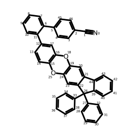 N#Cc1ccc(-c2ccccc2-c2ccc3c(c2)Oc2cc4c(cc2O3)C(c2ccccc2)(c2ccccc2)c2ccccc2-4)cc1